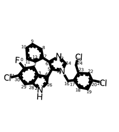 Fc1cc2c(-c3c(-c4ccccc4)ncn3Cc3ccc(Cl)cc3CCl)c[nH]c2cc1Cl